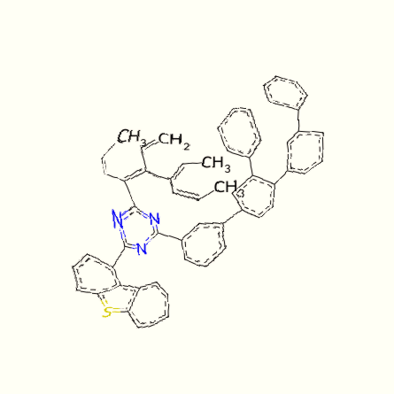 C=CC(=C(\C=C/C)c1nc(-c2cccc(-c3ccc(-c4cccc(-c5ccccc5)c4)c(-c4ccccc4)c3)c2)nc(-c2cccc3sc4ccccc4c23)n1)/C(/C=C\C)=C/C